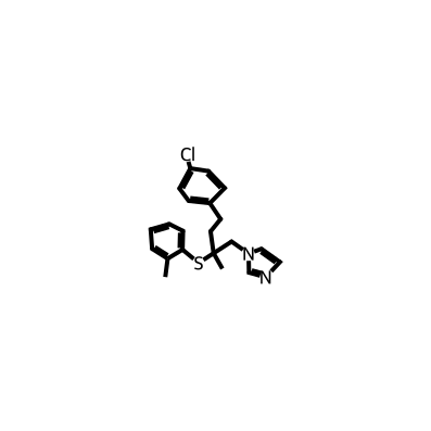 Cc1ccccc1SC(C)(CCc1ccc(Cl)cc1)Cn1ccnc1